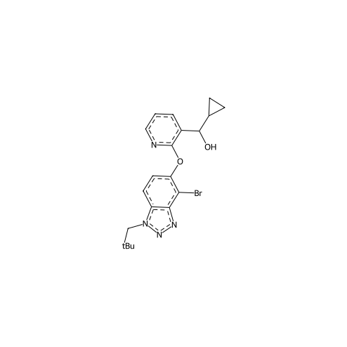 CC(C)(C)Cn1nnc2c(Br)c(Oc3ncccc3C(O)C3CC3)ccc21